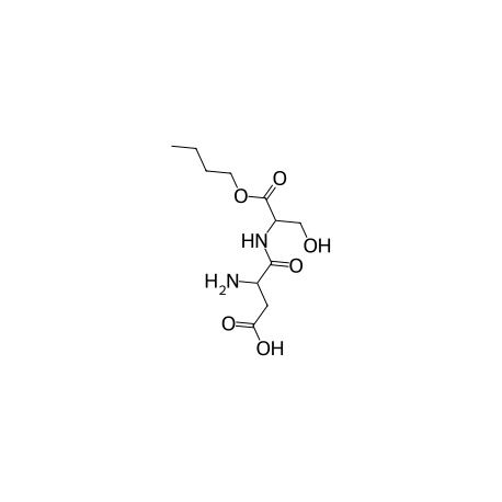 CCCCOC(=O)C(CO)NC(=O)C(N)CC(=O)O